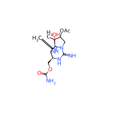 C=C1NC2[C@H](COC(N)=O)NC(=N)N3CC(OC(C)=O)C(C)C23N1O